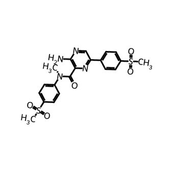 CN(C(=O)c1nc(-c2ccc(S(C)(=O)=O)cc2)cnc1N)c1ccc(S(C)(=O)=O)cc1